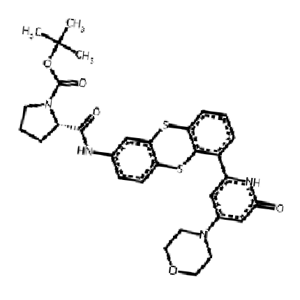 CC(C)(C)OC(=O)N1CCC[C@H]1C(=O)Nc1ccc2c(c1)Sc1cccc(-c3cc(N4CCOCC4)cc(=O)[nH]3)c1S2